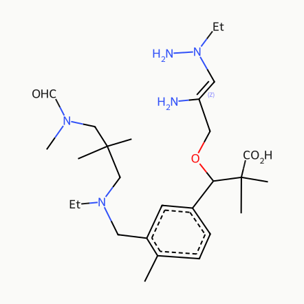 CCN(N)/C=C(\N)COC(c1ccc(C)c(CN(CC)CC(C)(C)CN(C)C=O)c1)C(C)(C)C(=O)O